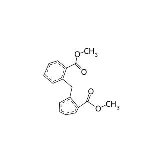 COC(=O)c1ccccc1Cc1ccccc1C(=O)OC